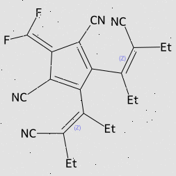 CC/C(C#N)=C(\CC)C1=C(C#N)C(=C(F)F)C(C#N)=C1/C(CC)=C(\C#N)CC